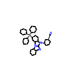 N#Cc1cccc(-n2c3ccc([Si](c4ccccc4)(c4ccccc4)c4ccccc4)cc3n3c4ccccc4nc23)c1